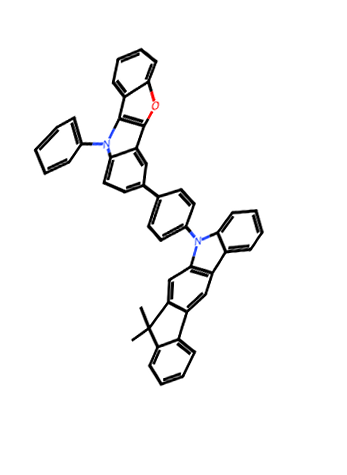 CC1(C)c2ccccc2-c2cc3c4ccccc4n(-c4ccc(-c5ccc6c(c5)c5oc7ccccc7c5n6-c5ccccc5)cc4)c3cc21